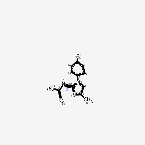 CCc1ccc(-n2cc(C)s/c2=N\C(=O)C(C)(C)C)cc1